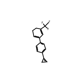 FC(F)(F)C1=CC(c2ccc(C3=CC3)cc2)=CCC1